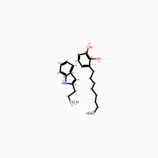 CCCCCCCCCCCCCCCCCc1cccc(O)c1O.O=C(O)CCc1cc2ccccc2[nH]1